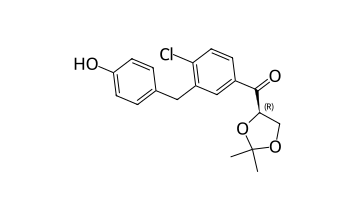 CC1(C)OC[C@H](C(=O)c2ccc(Cl)c(Cc3ccc(O)cc3)c2)O1